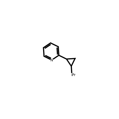 CC(C)C1CC1c1ccccn1